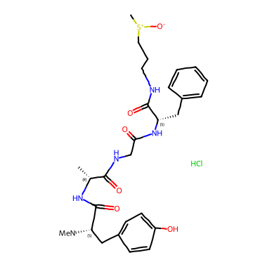 CN[C@@H](Cc1ccc(O)cc1)C(=O)N[C@H](C)C(=O)NCC(=O)N[C@@H](Cc1ccccc1)C(=O)NCCC[S+](C)[O-].Cl